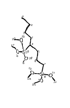 CCCCC(CCC[Si](OC)(OC)OC)[Si](OC)(OC)OC